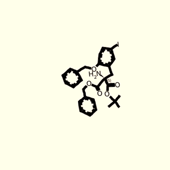 CC(C)(C)OC(=O)[C@](N)(Cc1cc(I)ccc1OCc1ccccc1)C(=O)OCc1ccccc1